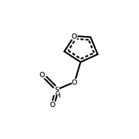 O=[SH](=O)Oc1ccoc1